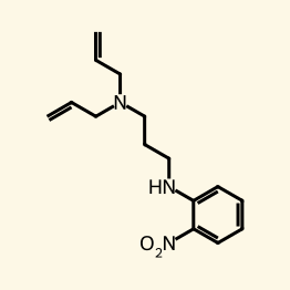 C=CCN(CC=C)CCCNc1ccccc1[N+](=O)[O-]